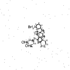 CN1c2cccc(CBr)c2C(C)(C)C12C=Nc1c3c(cc(CN(CC=O)CC=O)c1O2)CCC=C3